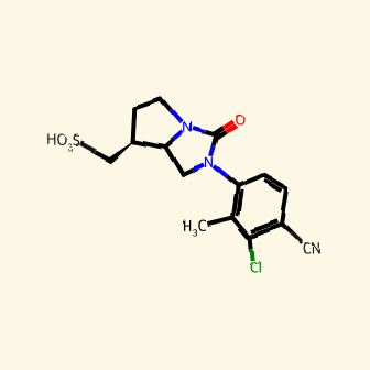 Cc1c(N2CC3[C@@H](CS(=O)(=O)O)CCN3C2=O)ccc(C#N)c1Cl